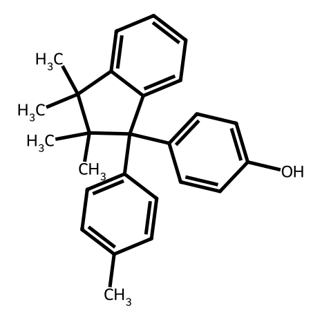 Cc1ccc(C2(c3ccc(O)cc3)c3ccccc3C(C)(C)C2(C)C)cc1